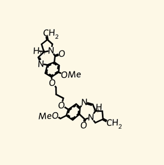 C=C1C[C@H]2C=Nc3cc(OCCCOc4cc5c(cc4OC)C(=O)N4CC(=C)C[C@H]4C=N5)c(COC)cc3C(=O)N2C1